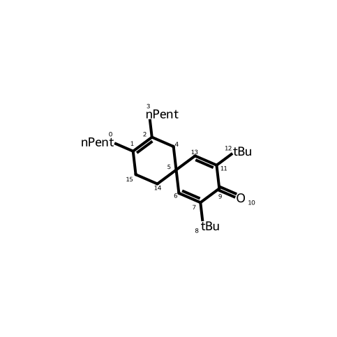 CCCCCC1=C(CCCCC)CC2(C=C(C(C)(C)C)C(=O)C(C(C)(C)C)=C2)CC1